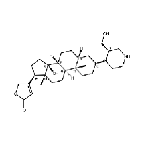 C[C@]12CC[C@H](N3CCNC[C@@H]3CO)C[C@H]1CC[C@@H]1[C@@H]2CC[C@]2(C)[C@@H](C3=CC(=O)OC3)CC[C@]12O